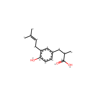 CC(C)=CCc1cc(CC(C)C(=O)O)ccc1O